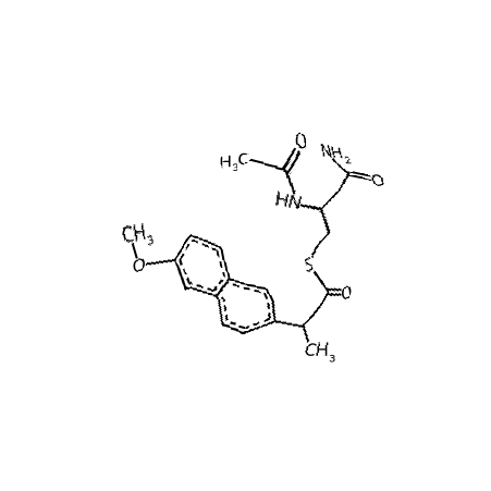 COc1ccc2cc(C(C)C(=O)SCC(NC(C)=O)C(N)=O)ccc2c1